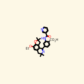 CCOc1cc2c(c3c1OC(C)(C)C3)C(c1ccc(C(=O)O)c(NC(=O)c3cccnc3)c1)=NC(C)(C)C2